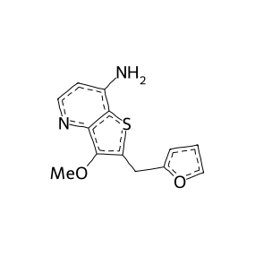 COc1c(Cc2ccco2)sc2c(N)ccnc12